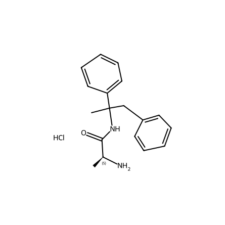 C[C@H](N)C(=O)NC(C)(Cc1ccccc1)c1ccccc1.Cl